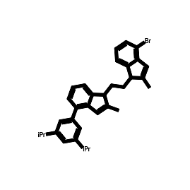 CC1=Cc2c(Br)cccc2C1CCC1C(C)=Cc2c(-c3cc(C(C)C)cc(C(C)C)c3)cccc21